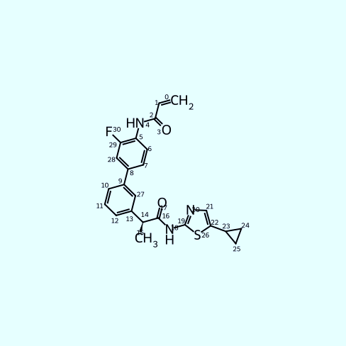 C=CC(=O)Nc1ccc(-c2cccc([C@H](C)C(=O)Nc3ncc(C4CC4)s3)c2)cc1F